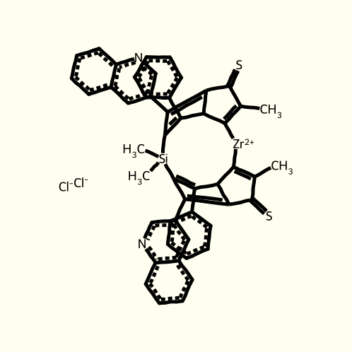 CC1=[C]2[Zr+2][C]3=C(C)C(=S)C4=C(c5cnc6ccccc6c5)C(=C(c5ccccc5)C34)[Si](C)(C)C3=C(c4ccccc4)C2C(=C3c2cnc3ccccc3c2)C1=S.[Cl-].[Cl-]